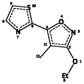 CCOc1noc(-c2nccs2)c1C